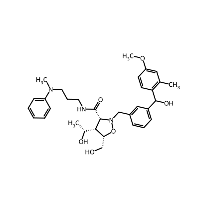 COc1ccc(C(O)c2cccc(CN3O[C@H](CO)[C@H]([C@@H](C)O)[C@@H]3C(=O)NCCCN(C)c3ccccc3)c2)c(C)c1